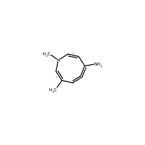 C/C1=C/N(C)/C=C\C(N)=C=C1